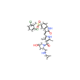 Cc1[nH]c(/C=C2\C(=O)Nc3ccc(S(=O)(=O)Cc4c(Cl)cccc4Cl)cc32)c(C)c1C(=O)N1C[C@H](O)C[C@@H]1CNC1CC1